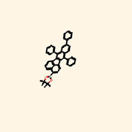 CC1(C)OB(c2ccc3c4c(cccc24)-c2c-3c(-c3ccccc3)c3ccc(-c4ccccc4)cc3c2-c2ccccc2)OC1(C)C